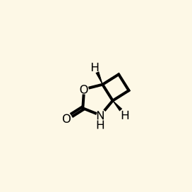 O=C1N[C@H]2CC[C@H]2O1